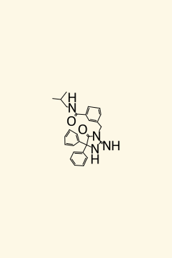 CC(C)CNC(=O)c1cccc(CN2C(=N)NC(c3ccccc3)(c3ccccc3)C2=O)c1